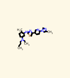 CCCCN(CC)c1ccc(C)c(Nc2nc(-c3ccc(-n4cnc(C)c4)nc3)cs2)c1